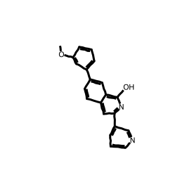 COc1cccc(-c2ccc3cc(-c4cccnc4)nc(O)c3c2)c1